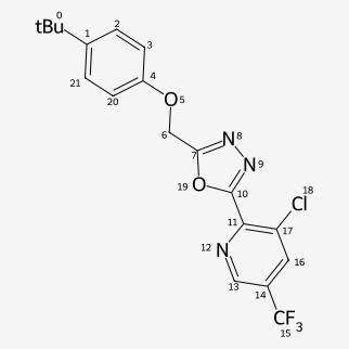 CC(C)(C)c1ccc(OCc2nnc(-c3ncc(C(F)(F)F)cc3Cl)o2)cc1